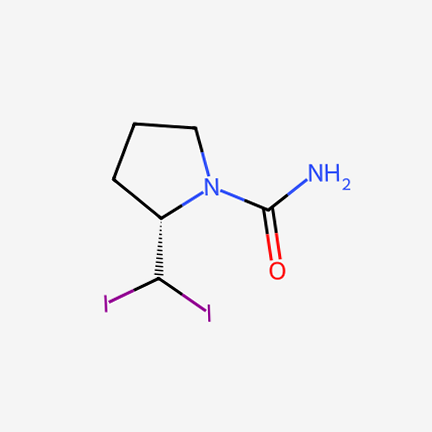 NC(=O)N1CCC[C@H]1C(I)I